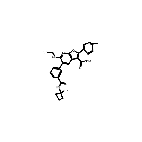 CNC(=O)c1c(-c2ccc(F)cc2)oc2nc(NCC(F)(F)F)c(-c3cccc(C(=O)NC4(C#N)CCC4)c3)cc12